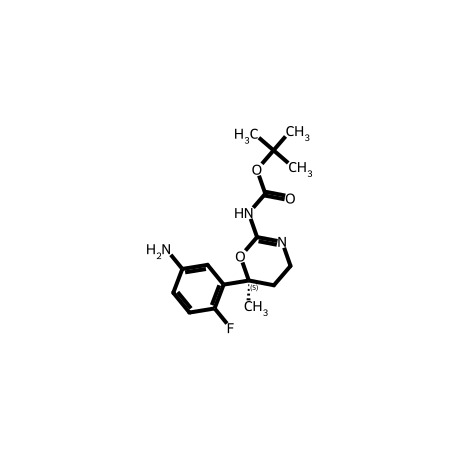 CC(C)(C)OC(=O)NC1=NCC[C@@](C)(c2cc(N)ccc2F)O1